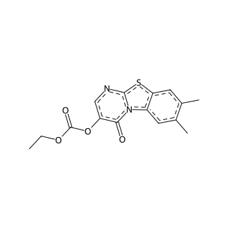 CCOC(=O)Oc1cnc2sc3cc(C)c(C)cc3n2c1=O